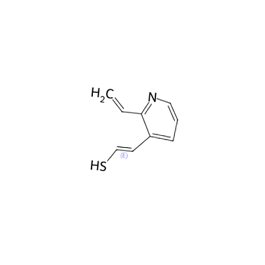 C=Cc1ncccc1/C=C/S